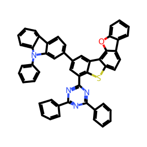 c1ccc(-c2nc(-c3ccccc3)nc(-c3cc(-c4ccc5c6ccccc6n(-c6ccccc6)c5c4)cc4c3sc3ccc5c6ccccc6oc5c34)n2)cc1